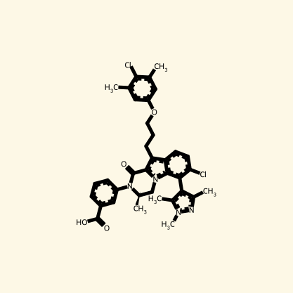 Cc1cc(OCCCc2c3n(c4c(-c5c(C)nn(C)c5C)c(Cl)ccc24)C[C@@H](C)N(c2cccc(C(=O)O)c2)C3=O)cc(C)c1Cl